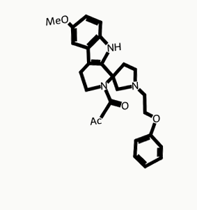 COc1ccc2[nH]c3c(c2c1)CCN(C(=O)C(C)=O)C31CCN(CCOc2ccccc2)C1